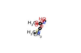 COC(=O)c1ccc(CN2CCC(O)C2=O)c(Oc2ccc(-c3nnc(C(C)C)s3)cc2)c1